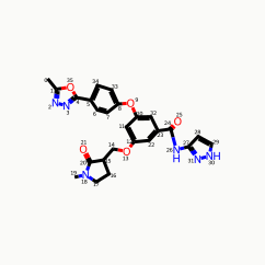 Cc1nnc(-c2ccc(Oc3cc(OCC4CCN(C)C4=O)cc(C(=O)Nc4cc[nH]n4)c3)cc2)o1